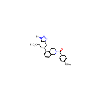 CCOC(=O)CCC(Cc1cn(CC)nn1)c1cccc2c1CCN(C(=O)c1ccc(OC)cc1)C2